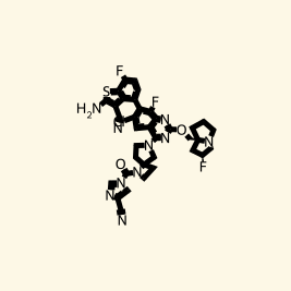 N#Cc1cn(C(=O)N2CCC23CCN(c2nc(OC[C@@]45CCCN4C[C@H](F)C5)nc4c(F)c(-c5ccc(F)c6sc(N)c(C#N)c56)c(Cl)cc24)C3)cn1